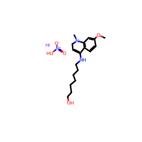 COc1ccc2c(c1)N(C)CC=C2NCCCCCCCO.I.O=[N+]([O-])O